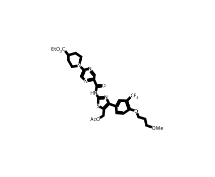 CCOC(=O)C1CCN(c2cnc(C(=O)Nc3nc(-c4ccc(OCCCOC)c(C(F)(F)F)c4)c(COC(C)=O)s3)cn2)CC1